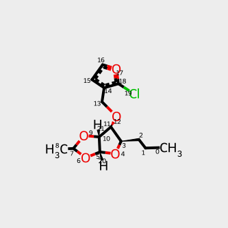 CCC[C@H]1O[C@@H]2OC(C)O[C@@H]2[C@H]1OCc1ccoc1Cl